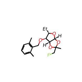 CC[C@H]1O[C@@H]2OC(C)(CF)O[C@@H]2[C@H]1OCc1c(C)cccc1C